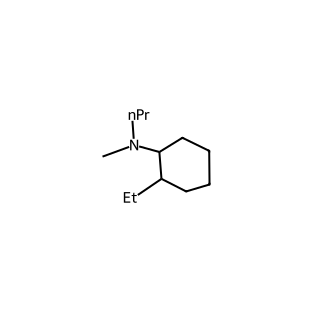 CCCN(C)C1CCCCC1CC